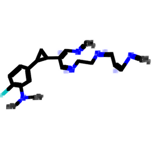 C=N/C=C\C=N/CC/N=C\C(=C/N=C)C1CC1c1ccc(F)c(N(CCC)CCC)c1